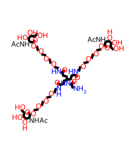 CC(=O)NC1C(OCCOCCOCCOCCNC(=O)CCC(CCC(=O)NCCOCCOCCOCCOC2OC(CO)C(O)C(O)C2NC(C)=O)(CCC(=O)NCCOCCOCCOCCOC2OC(CO)C(O)C(O)C2NC(C)=O)NC(=O)CN)OC(CO)C(O)C1O